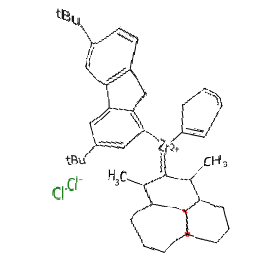 CC([C](C(C)C1CCCCC1)=[Zr+2]([C]1=CC=CC1)[c]1cc(C(C)(C)C)cc2c1Cc1ccc(C(C)(C)C)cc1-2)C1CCCCC1.[Cl-].[Cl-]